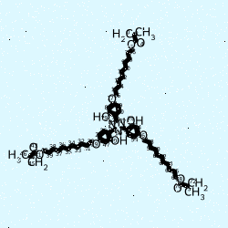 C=C(C)C(=O)OCCCCCCCCCCCOc1ccc(-c2nc(-c3ccc(OCCCCCCCCCCCOC(=O)C(=C)C)cc3O)nc(-c3ccc(OCCCCCCCCCCCOC(=O)C(=C)C)cc3O)n2)c(O)c1